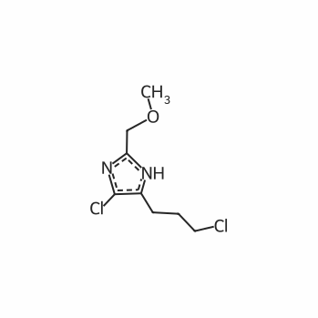 COCc1nc(Cl)c(CCCCl)[nH]1